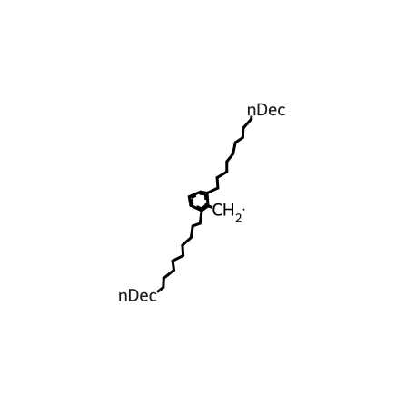 [CH2]c1c(CCCCCCCCCCCCCCCCCCC)cccc1CCCCCCCCCCCCCCCCCCC